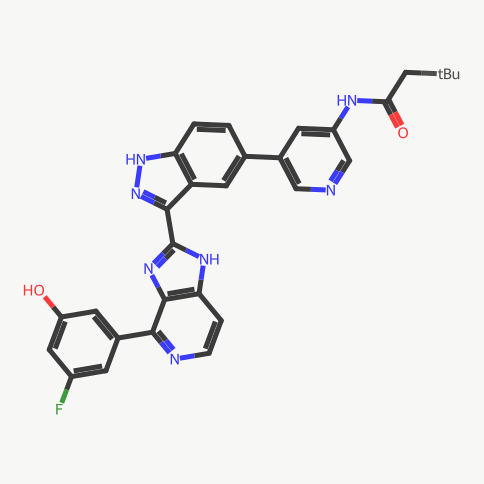 CC(C)(C)CC(=O)Nc1cncc(-c2ccc3[nH]nc(-c4nc5c(-c6cc(O)cc(F)c6)nccc5[nH]4)c3c2)c1